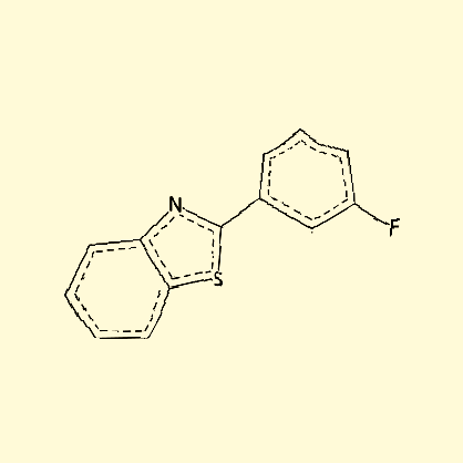 Fc1[c]c(-c2nc3ccccc3s2)ccc1